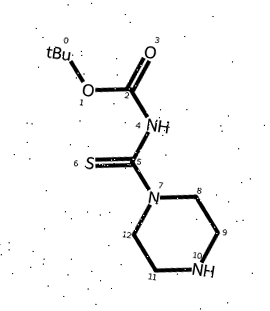 CC(C)(C)OC(=O)NC(=S)N1CCNCC1